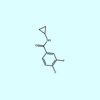 O=C(NC1CC1)c1ccc(F)c(F)c1